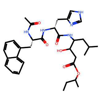 CCC(C)OC(=O)CC(O)C(CC(C)C)NC(=O)[C@@H](Cc1c[nH]cn1)NC(=O)[C@H](Cc1cccc2ccccc12)NC(C)=O